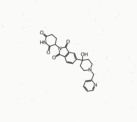 O=C1CCC(N2C(=O)c3ccc(C4(O)CCN(Cc5ccccn5)CC4)cc3C2=O)C(=O)N1